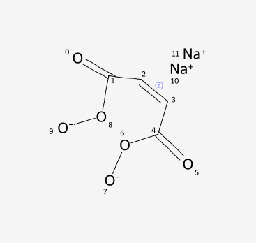 O=C(/C=C\C(=O)O[O-])O[O-].[Na+].[Na+]